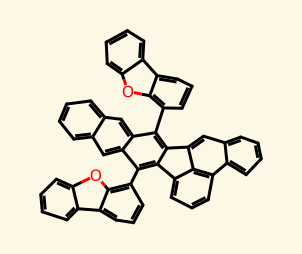 c1ccc2cc3c(-c4cccc5c4oc4ccccc45)c4c(c(-c5cccc6c5oc5ccccc56)c3cc2c1)-c1cccc2c1c-4cc1ccccc12